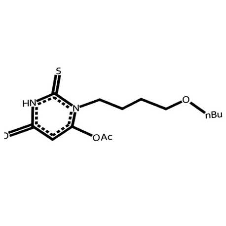 CCCCOCCCCn1c(OC(C)=O)cc(=O)[nH]c1=S